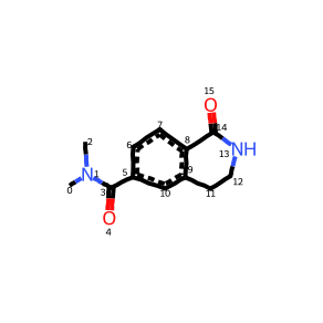 CN(C)C(=O)c1ccc2c(c1)CCNC2=O